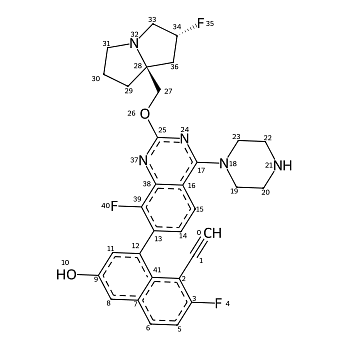 C#Cc1c(F)ccc2cc(O)cc(-c3ccc4c(N5CCNCC5)nc(OC[C@@]56CCCN5C[C@H](F)C6)nc4c3F)c12